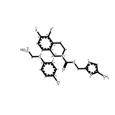 Cc1cnc(COC(=O)N2CCc3c(ccc(F)c3F)[C@H]2c2cc(Cl)ccc2OCC(=O)O)s1